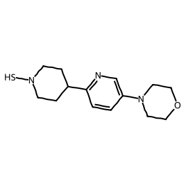 SN1CCC(c2ccc(N3CCOCC3)cn2)CC1